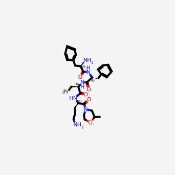 CC(C)C[C@@H](NC(=O)[C@@H](Cc1ccccc1)NC(=O)[C@H](N)Cc1ccccc1)C(=O)N[C@H](CCCN)C(=O)N1CCOC(C)C1